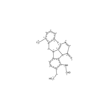 O=CNc1c(CC(=O)O)ccc2c1C1C(=O)C=NC=C1N2Cc1c(F)cccc1C(F)(F)F